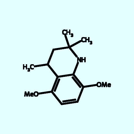 COc1ccc(OC)c2c1NC(C)(C)CC2C